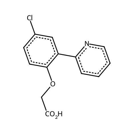 O=C(O)COc1ccc(Cl)cc1-c1ccccn1